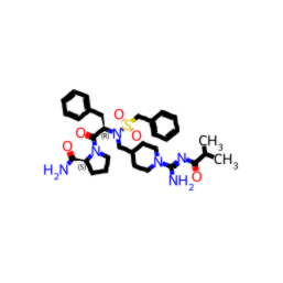 CC(C)C(=O)N=C(N)N1CCC(CN([C@H](Cc2ccccc2)C(=O)N2CCC[C@H]2C(N)=O)S(=O)(=O)Cc2ccccc2)CC1